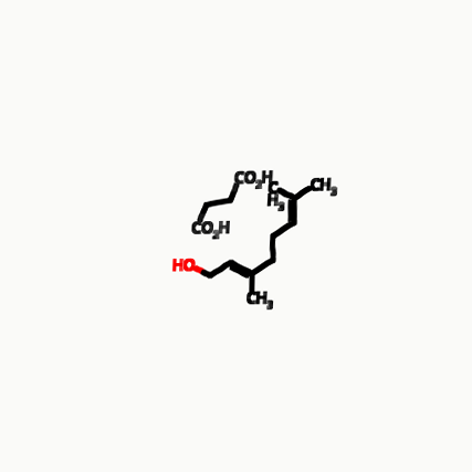 CC(C)=CCCC(C)=CCO.O=C(O)CCC(=O)O